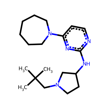 CC(C)(C)CN1CCC(Nc2nccc(N3CCCCCC3)n2)C1